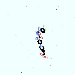 O=C(O)CC1CC2(CCN(c3ccc(NC(=O)c4nnc(Nc5ccc(F)c(F)c5)o4)cc3)CC2)C1